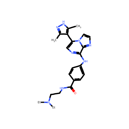 CCN(CC)CCNC(=O)c1ccc(Nc2ncc(-c3c(C)n[nH]c3C)n3ccnc23)cc1